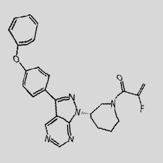 C=C(F)C(=O)N1CCC[C@H](n2nc(-c3ccc(Oc4ccccc4)cc3)c3cncnc32)C1